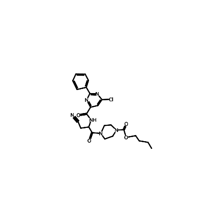 CCCCOC(=O)N1CCN(C(=O)C(CC#N)NC(=O)c2cc(Cl)nc(-c3ccccc3)n2)CC1